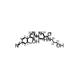 Cc1cc(C#N)ccc1-c1cnn(-c2ccc(C(=O)NCCCO)cn2)c1O